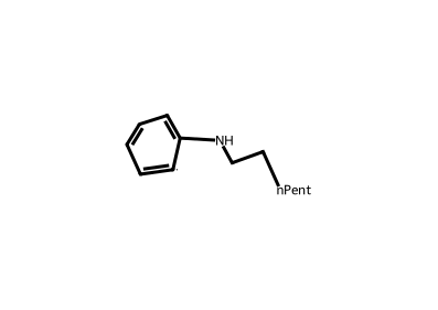 CCCCCCCNc1[c]cccc1